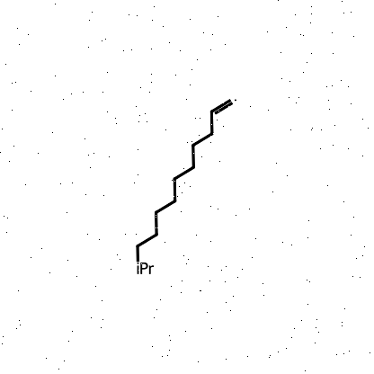 [CH]=CCCCCCCCCC(C)C